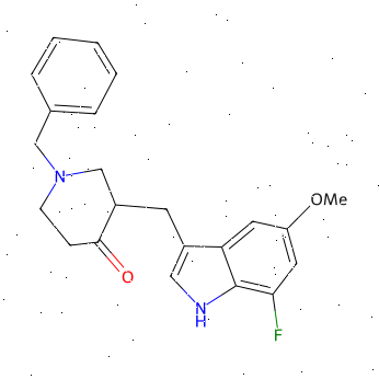 COc1cc(F)c2[nH]cc(CC3CN(Cc4ccccc4)CCC3=O)c2c1